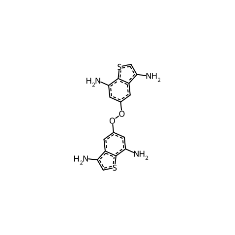 Nc1csc2c(N)cc(OOc3cc(N)c4scc(N)c4c3)cc12